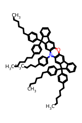 CCCCCCc1ccc(C2(c3ccc(CCCCCC)cc3)c3ccccc3-c3cc4c(cc32)N(c2ccc(CCCC)cc2)c2cc3c(cc2O4)-c2ccccc2C3(c2ccc(CCCCCC)cc2)c2ccc(CCCCCC)cc2)cc1